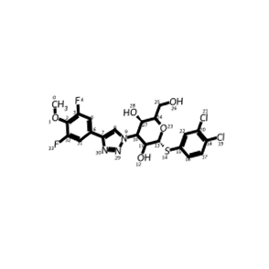 COc1c(F)cc(-c2cn(C3C(O)[C@@H](Sc4ccc(Cl)c(Cl)c4)OC(CO)[C@@H]3O)nn2)cc1F